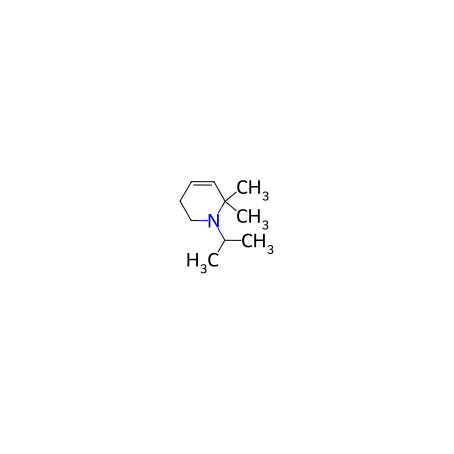 CC(C)N1CCC=CC1(C)C